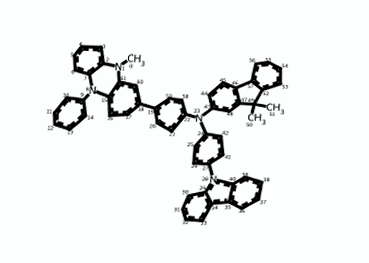 CN1c2ccccc2N(c2ccccc2)c2ccc(-c3ccc(N(c4ccc(-n5c6ccccc6c6ccccc65)cc4)c4ccc5c(c4)C(C)(C)c4ccccc4-5)cc3)cc21